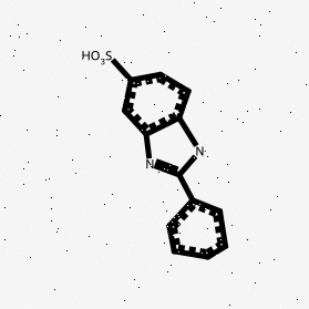 O=S(=O)(O)c1ccc2c(c1)N=C(c1ccccc1)[N]2